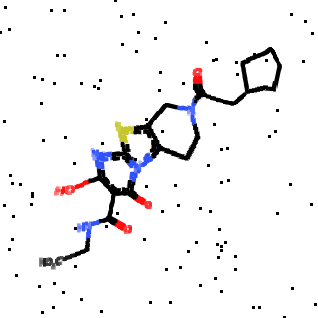 O=C(O)CNC(=O)c1c(O)nc2sc3c(n2c1=O)CCN(C(=O)CC1CCCC1)C3